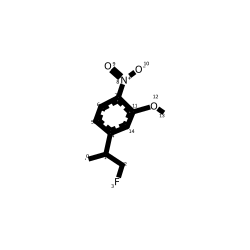 [CH2]C(CF)c1ccc([N+](=O)[O-])c(OC)c1